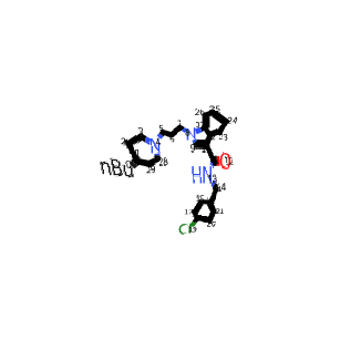 CCCCC1CCN(CCCn2cc(C(=O)NCc3ccc(Cl)cc3)c3ccccc32)CC1